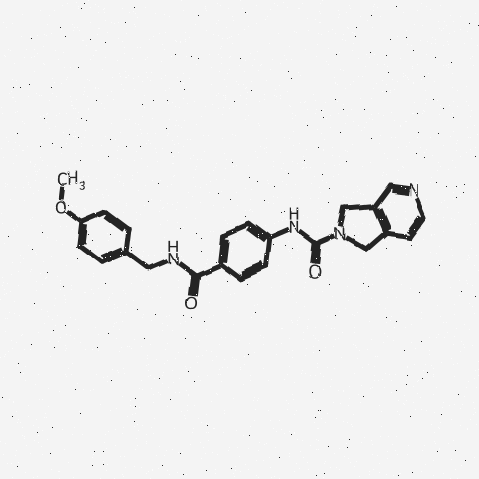 COc1ccc(CNC(=O)c2ccc(NC(=O)N3Cc4ccncc4C3)cc2)cc1